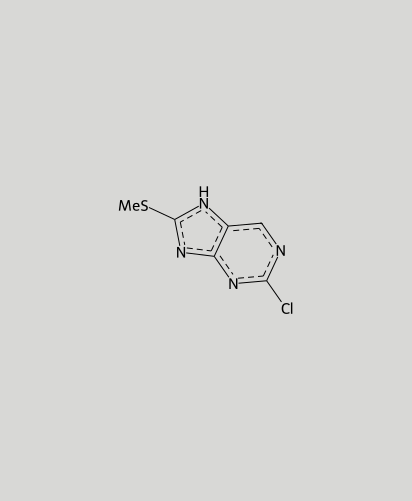 CSc1nc2nc(Cl)ncc2[nH]1